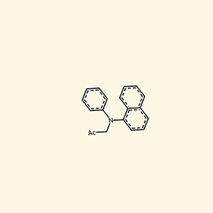 CC(=O)CN(c1ccccc1)c1cccc2ccccc12